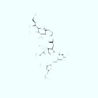 C=C1C(C)CC(CC[C@@H]2OC(CCC=O)CC2=C)OC1C[C@@H]1O[C@H](CC(O)CO)[C@H](OC)C1CC(=O)C[C@H]1CC[C@@H]2OC(C(O)/C=C/I)[C@@H](O)[C@@H](O)C2O1